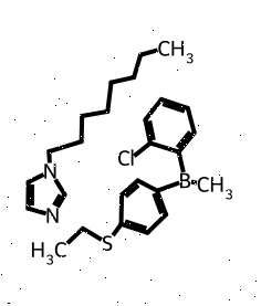 CCCCCCCCn1ccnc1.CCSc1ccc(B(C)c2ccccc2Cl)cc1